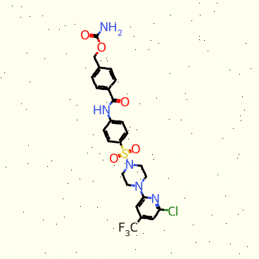 NC(=O)OCc1ccc(C(=O)Nc2ccc(S(=O)(=O)N3CCN(c4cc(C(F)(F)F)cc(Cl)n4)CC3)cc2)cc1